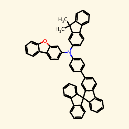 CC1(C)c2ccccc2-c2ccc(N(c3ccc(-c4ccc5c(c4)C4(c6ccccc6-c6ccccc64)c4ccccc4-5)cc3)c3ccc4c(c3)oc3ccccc34)cc21